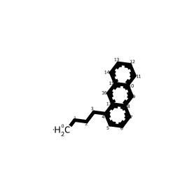 [CH2]CCCc1cccc2cc3ccccc3cc12